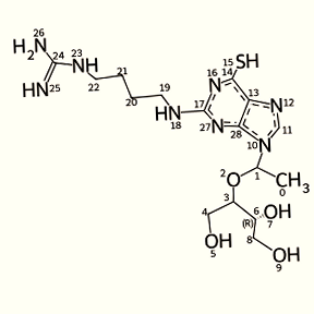 CC(OC(CO)[C@H](O)CO)n1cnc2c(S)nc(NCCCCNC(=N)N)nc21